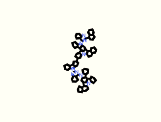 c1ccc2c(-c3nc(-n4c5ccccc5c5c6c7ccc(-c8ccc9c(c8)c8ccccc8n9-c8nc(-n9c%10ccccc%10c%10c%11c%12ccccc%12n%12c%13ccc%14ccccc%14c%13c(cc%109)c%11%12)c9ccccc9n8)cc7n7c8ccc9ccccc9c8c(cc54)c67)c4ccccc4n3)cccc2c1